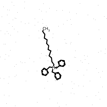 CCCCCCCCCCCCC[PH](Cc1ccccc1)(Cc1ccccc1)Cc1ccccc1